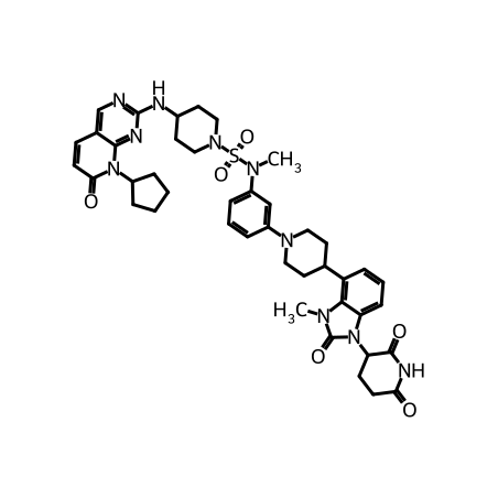 CN(c1cccc(N2CCC(c3cccc4c3n(C)c(=O)n4C3CCC(=O)NC3=O)CC2)c1)S(=O)(=O)N1CCC(Nc2ncc3ccc(=O)n(C4CCCC4)c3n2)CC1